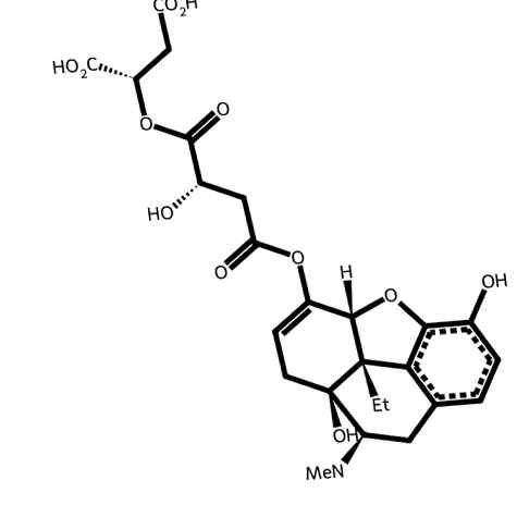 CC[C@]12c3c4ccc(O)c3O[C@H]1C(OC(=O)C[C@H](O)C(=O)O[C@@H](CC(=O)O)C(=O)O)=CC[C@@]2(O)[C@H](NC)C4